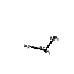 CCCCCCCCCCCC(C)(C)CCCCCCCCCC(=O)OC